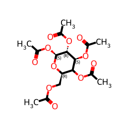 CC(=O)OC[C@H]1O[C@@H](OC(C)=O)[C@H](OC(C)=O)[C@@H](OC(C)=O)C1OC(C)=O